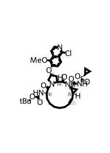 COc1c(O[C@@H]2C[C@H]3C(=O)N[C@]4(C(=O)NS(=O)(=O)C5CC5)C[C@H]4/C=C\CCCCC[C@H](NC(=O)OC(C)(C)C)C(=O)N3C2)ccc2c(Cl)nccc12